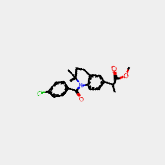 COC(=O)C(C)c1ccc2c(c1)CCC(C)(C)N2C(=O)c1ccc(Cl)cc1